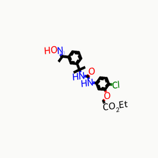 CCOC(=O)COc1cc(NC(=O)NC(C)(C)c2cccc(/C(C)=N/O)c2)ccc1Cl